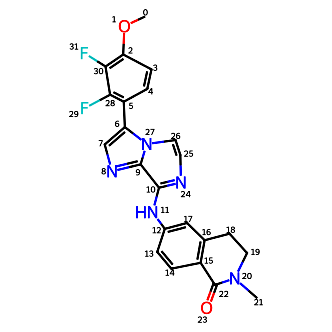 COc1ccc(-c2cnc3c(Nc4ccc5c(c4)CCN(C)C5=O)nccn23)c(F)c1F